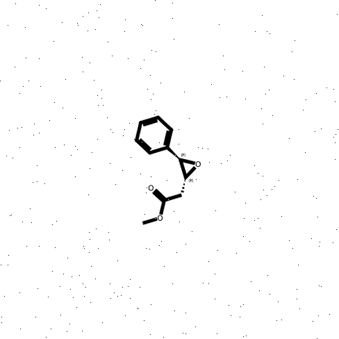 COC(=O)C[C@H]1O[C@@H]1c1ccccc1